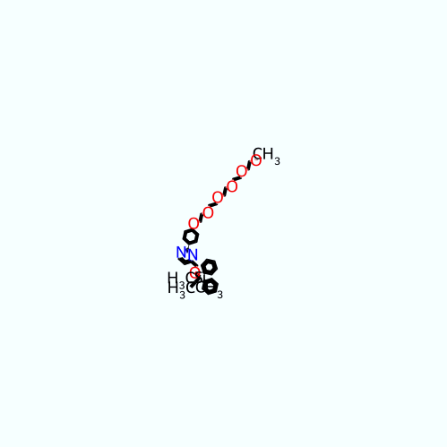 COCCOCCOCCOCCOCCO[C@H]1CC[C@H](c2nccc(CO[Si](c3ccccc3)(c3ccccc3)C(C)(C)C)n2)CC1